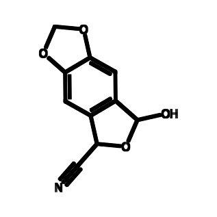 N#CC1OC(O)c2cc3c(cc21)OCO3